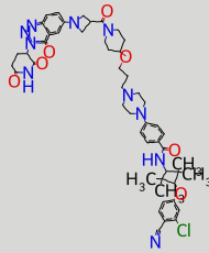 CC1(C)C(NC(=O)c2ccc(N3CCN(CCCOC4CCN(C(=O)C5CN(c6ccc7nnn(C8CCC(=O)NC8=O)c(=O)c7c6)C5)CC4)CC3)cc2)C(C)(C)C1Oc1ccc(C#N)c(Cl)c1